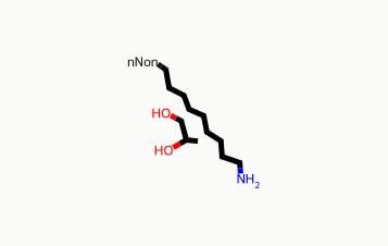 CC(O)CO.CCCCCCCCCCCCCCCCCCN